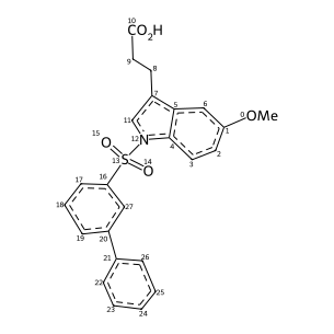 COc1ccc2c(c1)c(CCC(=O)O)cn2S(=O)(=O)c1cccc(-c2ccccc2)c1